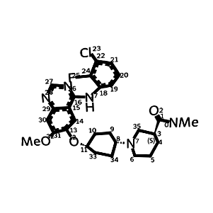 CNC(=O)[C@H]1CCCN([C@H]2CC[C@@H](Oc3cc4c(Nc5cccc(Cl)c5F)ncnc4cc3OC)CC2)C1